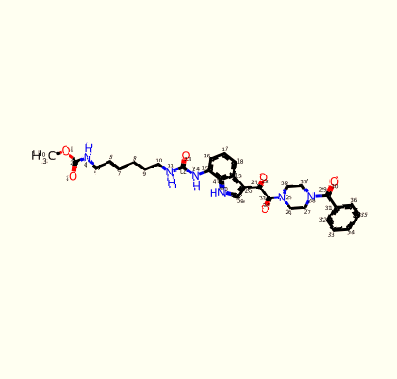 COC(=O)NCCCCCCNC(=O)Nc1cccc2c(C(=O)C(=O)N3CCN(C(=O)c4ccccc4)CC3)c[nH]c12